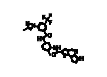 Cc1cn(-c2cc(C(=O)Nc3ccc(C)c(NC(=O)c4cc5cnc6[nH]ccc6c5s4)c3)cc(C(F)(F)F)c2)cn1